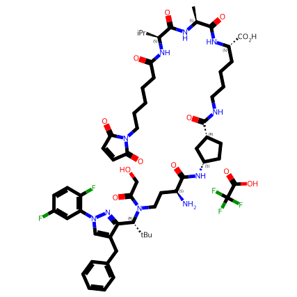 CC(C)[C@H](NC(=O)CCCCCN1C(=O)C=CC1=O)C(=O)N[C@@H](C)C(=O)N[C@@H](CCCCNC(=O)[C@@H]1CC[C@H](NC(=O)[C@@H](N)CCN(C(=O)CO)[C@@H](c2nn(-c3cc(F)ccc3F)cc2Cc2ccccc2)C(C)(C)C)C1)C(=O)O.O=C(O)C(F)(F)F